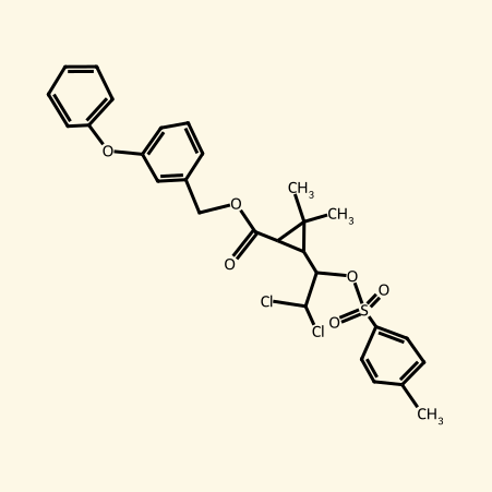 Cc1ccc(S(=O)(=O)OC(C(Cl)Cl)C2C(C(=O)OCc3cccc(Oc4ccccc4)c3)C2(C)C)cc1